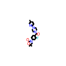 Cc1ccc(N2CCN(C(=O)c3ccc(N4CC(C)(C)OC4=O)cc3F)CC2)nc1